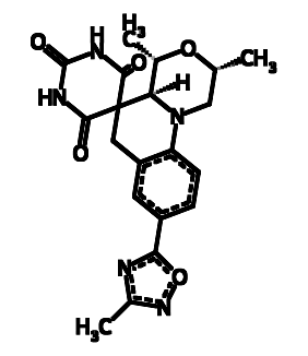 Cc1noc(-c2ccc3c(c2)CC2(C(=O)NC(=O)NC2=O)[C@H]2[C@H](C)O[C@H](C)CN32)n1